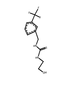 OCCNC(=S)NCc1cccc(C(F)(F)F)c1